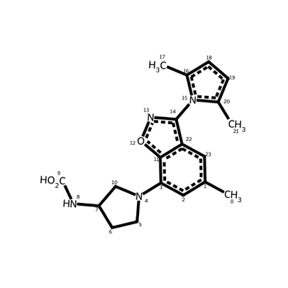 Cc1cc(N2CCC(NC(=O)O)C2)c2onc(-n3c(C)ccc3C)c2c1